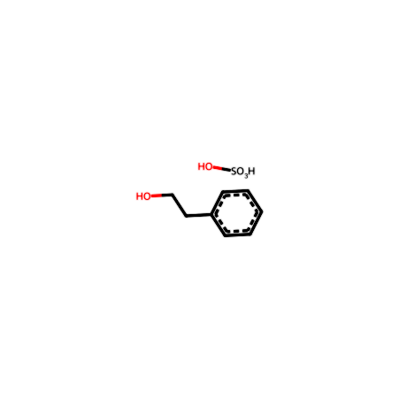 O=S(=O)(O)O.OCCc1ccccc1